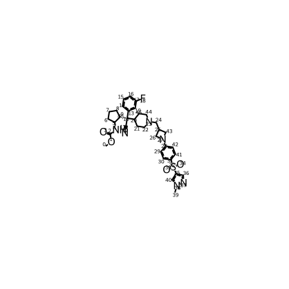 COC(=O)NC1CCC[C@@H]1C(C#N)(c1cccc(F)c1)C1CCN(CC2CN(c3ccc(S(=O)(=O)c4cnn(C)c4)cc3)C2)CC1